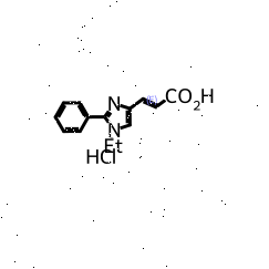 CCn1cc(/C=C/C(=O)O)nc1-c1ccccc1.Cl